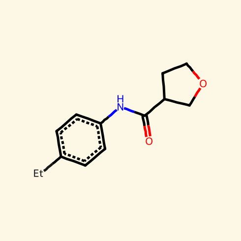 CCc1ccc(NC(=O)C2CCOC2)cc1